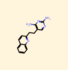 Nc1ncc(CCc2ccc3ccccc3n2)c(N)n1